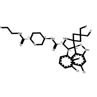 O=C(NCCF)[C@@H]1CC[C@@H](NC(=O)[C@@H]2NC3(CC(CF)(CF)C3)[C@@]3(ONc4cc(Cl)ccc43)[C@H]2c2cccc(Cl)c2F)CO1